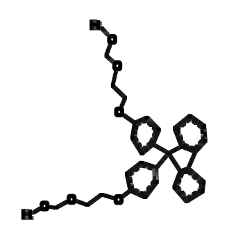 CCOCOCCOc1ccc(C2(c3ccc(OCCOCOCC)cc3)c3ccccc3-c3ccccc32)cc1